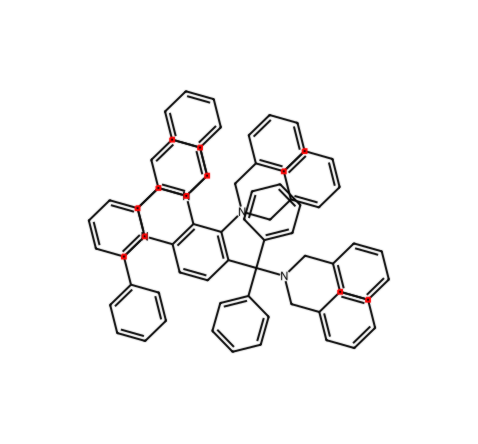 c1ccc(CN(Cc2ccccc2)c2ccc(C(c3ccccc3)(c3ccccc3)N(Cc3ccccc3)Cc3ccccc3)c(N(Cc3ccccc3)Cc3ccccc3)c2N(Cc2ccccc2)Cc2ccccc2)cc1